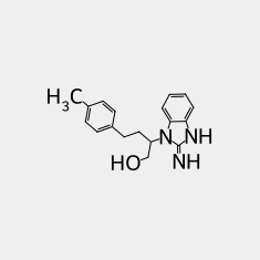 Cc1ccc(CCC(CO)n2c(=N)[nH]c3ccccc32)cc1